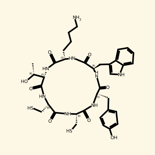 C[C@@H](O)[C@@H]1NC(=O)[C@H](CCCCN)NC(=O)[C@@H](Cc2c[nH]c3ccccc23)NC(=O)[C@H](Cc2ccc(O)cc2)NC(=O)[C@H](CS)NC(=O)[C@H](CS)NC1=O